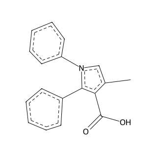 Cc1cn(-c2ccccc2)c(-c2ccccc2)c1C(=O)O